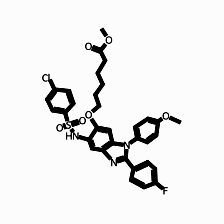 COC(=O)CCCCCOc1cc2c(cc1NS(=O)(=O)c1ccc(Cl)cc1)nc(-c1ccc(F)cc1)n2-c1ccc(OC)cc1